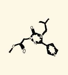 COC(=O)Cn1nc(-c2ccsc2)n(CC(C)C)c1=O